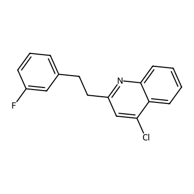 Fc1cccc(CCc2cc(Cl)c3ccccc3n2)c1